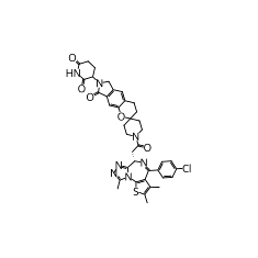 Cc1sc2c(c1C)C(c1ccc(Cl)cc1)=N[C@@H](CC(=O)N1CCC3(CCc4cc5c(cc4O3)C(=O)N(C3CCC(=O)NC3=O)C5)CC1)c1nnc(C)n1-2